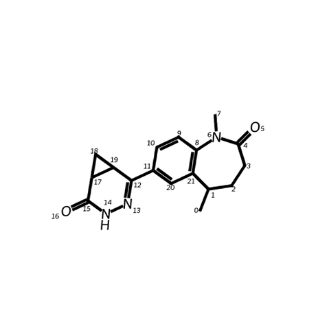 CC1CCC(=O)N(C)c2ccc(C3=NNC(=O)C4CC34)cc21